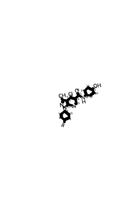 Cc1nn(-c2ccc(F)cc2)c2ncc(C(=O)Nc3ccc(O)cc3)c(Cl)c12